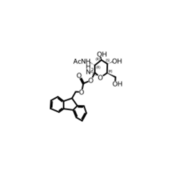 CC(=O)N[C@@H]1[C@@H](O)[C@H](O)[C@@H](CO)O[C@@]1(N)OC(=O)OCC1c2ccccc2-c2ccccc21